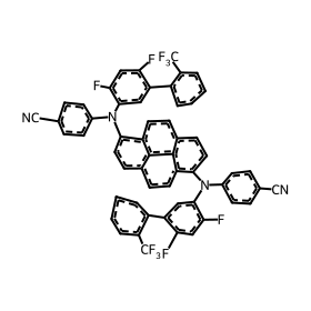 N#Cc1ccc(N(c2cc(-c3ccccc3C(F)(F)F)c(F)cc2F)c2ccc3ccc4c(N(c5ccc(C#N)cc5)c5cc(-c6ccccc6C(F)(F)F)c(F)cc5F)ccc5ccc2c3c54)cc1